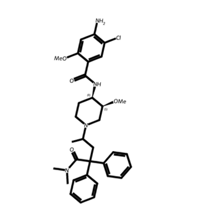 COc1cc(N)c(Cl)cc1C(=O)N[C@@H]1CCN(C(C)CC(C(=O)N(C)C)(c2ccccc2)c2ccccc2)C[C@@H]1OC